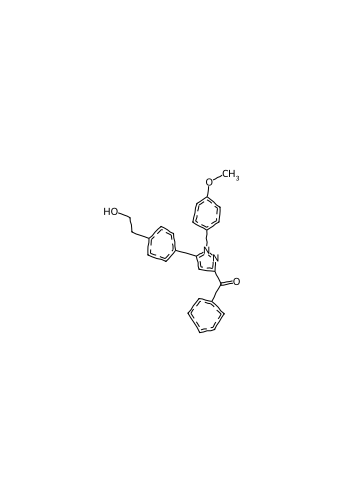 COc1ccc(-n2nc(C(=O)c3ccccc3)cc2-c2ccc(CCO)cc2)cc1